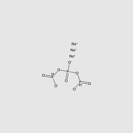 O=[PH]([O-])OP(=O)([O-])O[PH](=O)[O-].[Na+].[Na+].[Na+]